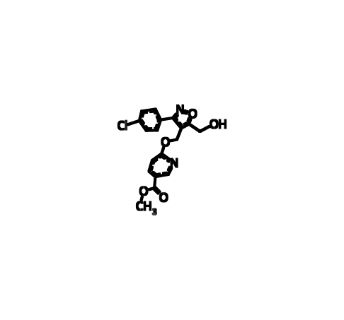 COC(=O)c1ccc(OCc2c(-c3ccc(Cl)cc3)noc2CO)nc1